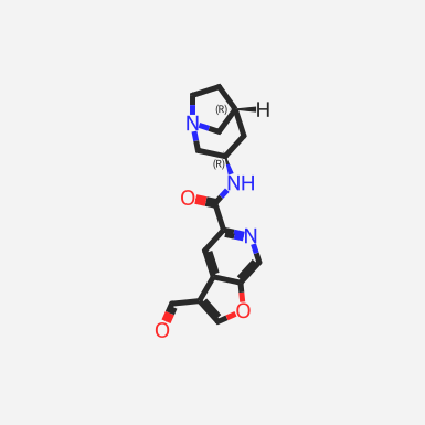 O=Cc1coc2cnc(C(=O)N[C@@H]3C[C@H]4CCN(C4)C3)cc12